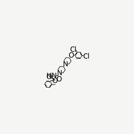 Cc1ccccc1S(=O)(=O)NC(=O)N1CCC(N2CCC(Oc3ccc(Cl)cc3Cl)CC2)CC1